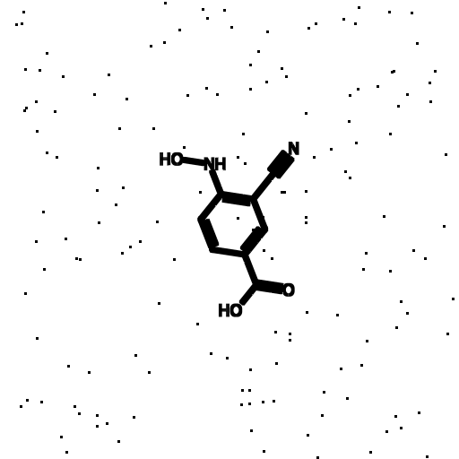 N#Cc1cc(C(=O)O)ccc1NO